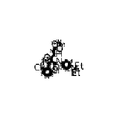 CCN(CC)c1ccc(NC(=O)c2c(-c3c(Cl)cccc3Cl)noc2CCC2OCCO2)cc1